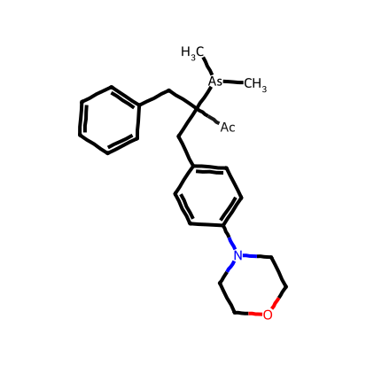 CC(=O)C(Cc1ccccc1)(Cc1ccc(N2CCOCC2)cc1)[As](C)C